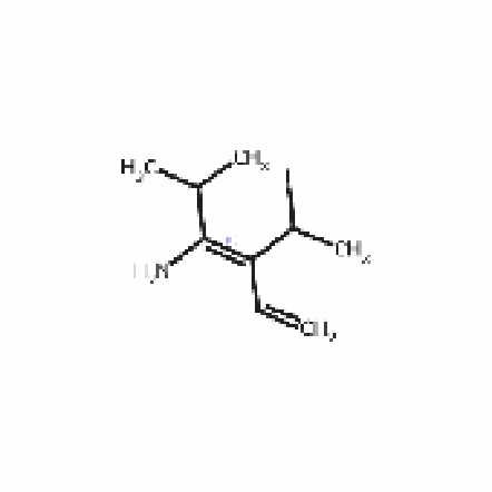 C=C/C(=C(\N)C(C)C)C(C)I